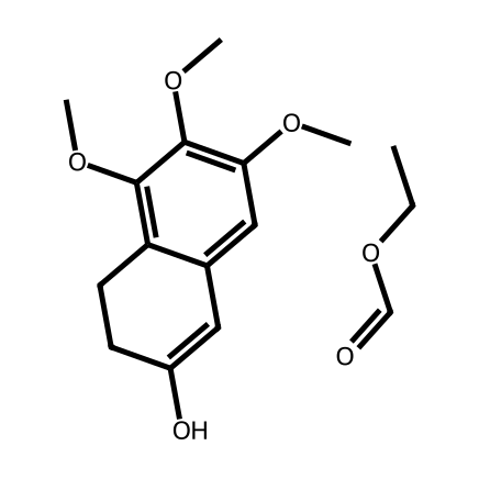 CCOC=O.COc1cc2c(c(OC)c1OC)CCC(O)=C2